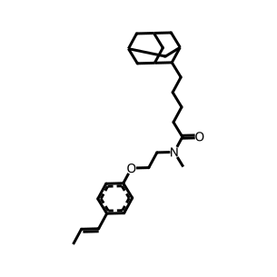 C/C=C/c1ccc(OCCN(C)C(=O)CCCCC2C3CC4CC(C3)CC2C4)cc1